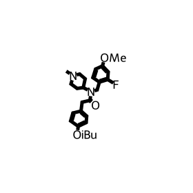 COc1ccc(CN(C(=O)Cc2ccc(OCC(C)C)cc2)C2CCN(C)CC2)c(F)c1